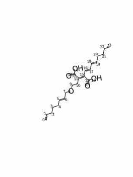 C=CCCCC=CCOCCC(C(=O)O)=C(C=CC=CCCCC)C(=O)O